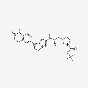 CN1CCc2cc(N3CCn4nc(NC(=O)CC5CCN(C(=O)OC(C)(C)C)C5)cc43)ccc2C1=O